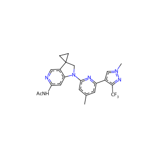 CC(=O)Nc1cc2c(cn1)C1(CC1)CN2c1cc(C)cc(-c2cn(C)nc2C(F)(F)F)n1